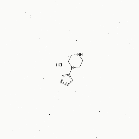 Cl.c1cc(N2CCNCC2)cs1